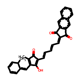 CC1=C(/C=C2/C=CC=CC2C)C(O)=C(/C=C/C=C/C=C2C(=O)c3cc4ccccc4cc3C2=O)C1=O